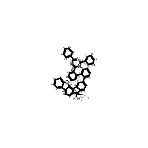 CC1(C)c2ccc(-c3ccccc3-c3ccccc3-c3nc(-c4ccccc4)nc(-c4ccccc4)n3)cc2-c2c1ccc1c2oc2ccccc21